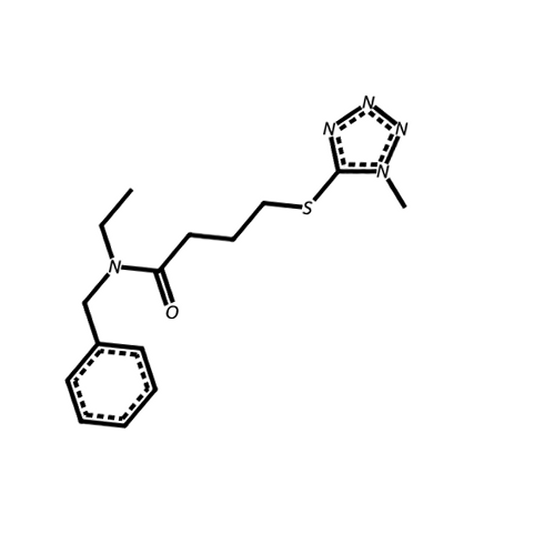 CCN(Cc1ccccc1)C(=O)CCCSc1nnnn1C